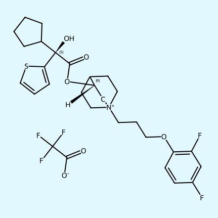 O=C(O[C@H]1C[N+]2(CCCOc3ccc(F)cc3F)CCC1CC2)[C@](O)(c1cccs1)C1CCCC1.O=C([O-])C(F)(F)F